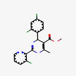 COC(=O)C1=C(C)NC(c2ncccc2F)=NC1c1ccc(F)cc1F